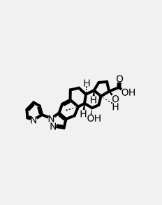 C[C@]12Cc3cnn(-c4ccccn4)c3C=C1CC[C@@H]1[C@@H]2[C@@H](O)C[C@@]2(C)[C@H]1CC[C@]2(O)C(=O)O